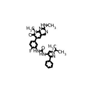 CNc1ncc2cc(-c3ccc(F)c(NC(=O)Nc4cn(C(C)C)nc4-c4ccccc4)c3)c(=O)n(C)c2n1